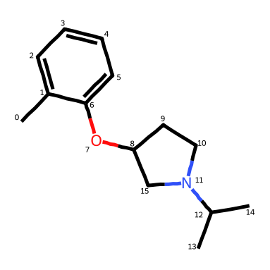 Cc1ccccc1OC1CCN(C(C)C)C1